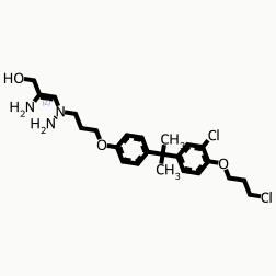 CC(C)(c1ccc(OCCCN(N)/C=C(\N)CO)cc1)c1ccc(OCCCCl)c(Cl)c1